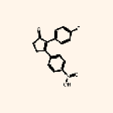 O=C1CCC(c2ccc(S(=O)O)cc2)=C1c1ccc(F)cc1